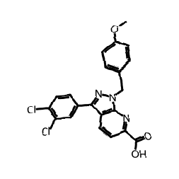 COc1ccc(Cn2nc(-c3ccc(Cl)c(Cl)c3)c3ccc(C(=O)O)nc32)cc1